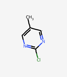 Cc1[c]nc(Cl)nc1